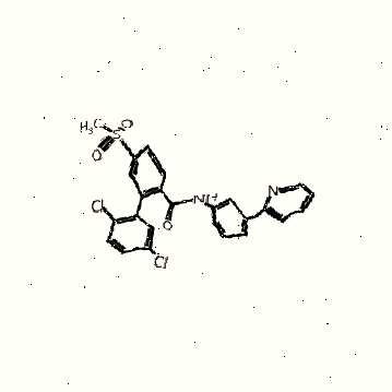 CS(=O)(=O)c1ccc(C(=O)Nc2cccc(-c3ccccn3)c2)c(-c2cc(Cl)ccc2Cl)c1